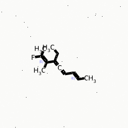 C/C=C/C=C=C(CC)/C(C)=C(\C)F